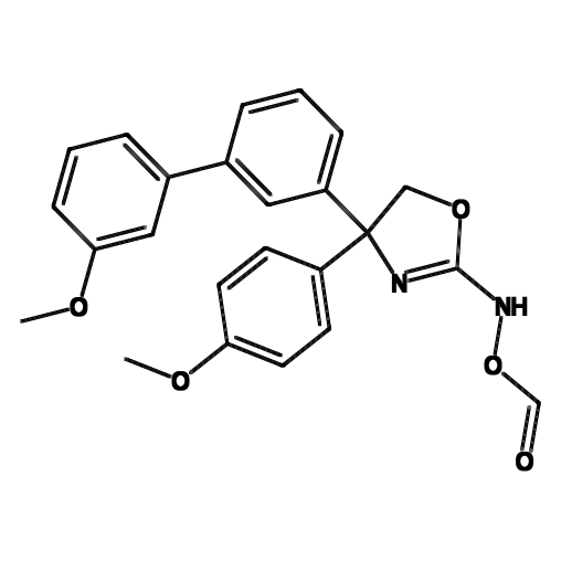 COc1ccc(C2(c3cccc(-c4cccc(OC)c4)c3)COC(NOC=O)=N2)cc1